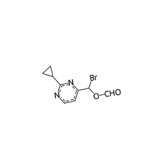 O=COC(Br)c1ccnc(C2CC2)n1